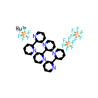 F[P-](F)(F)(F)(F)F.F[P-](F)(F)(F)(F)F.F[P-](F)(F)(F)(F)F.[Ru+3].c1ccc(-c2ccccn2)nc1.c1ccc(-c2ccccn2)nc1.c1ccc(-c2ccccn2)nc1